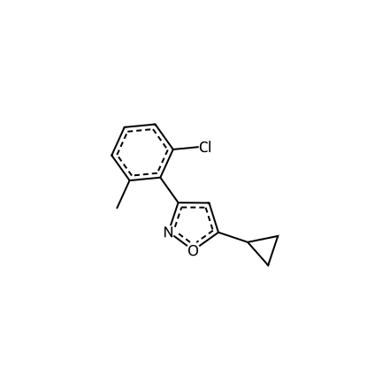 Cc1cccc(Cl)c1-c1cc(C2CC2)on1